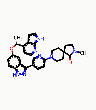 C[C@@H](Oc1ccc2[nH]nc(-c3ccc(N4CCC5(CCN(C)C5=O)CC4)nc3)c2c1)c1ccnc2[nH]ccc12